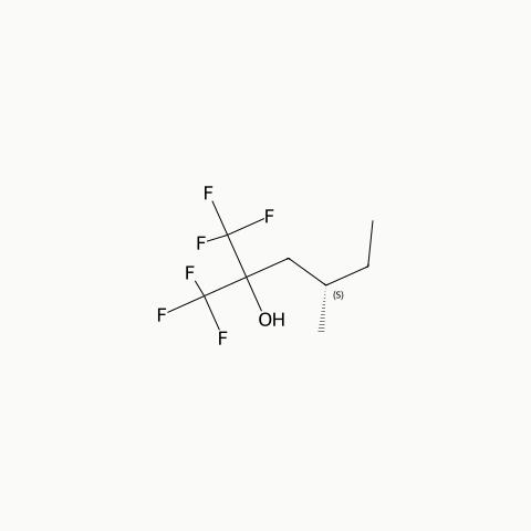 CC[C@H](C)CC(O)(C(F)(F)F)C(F)(F)F